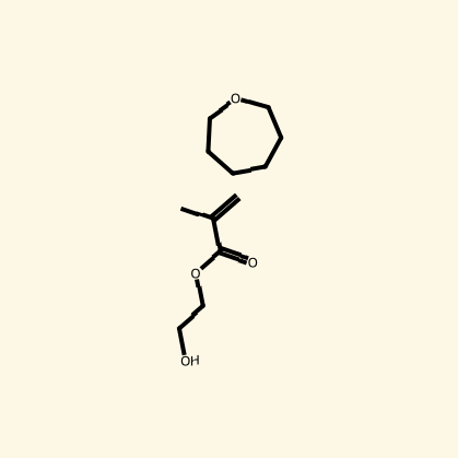 C1CCCOCC1.C=C(C)C(=O)OCCO